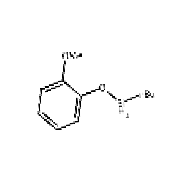 CCCC[SiH2]Oc1ccccc1OC